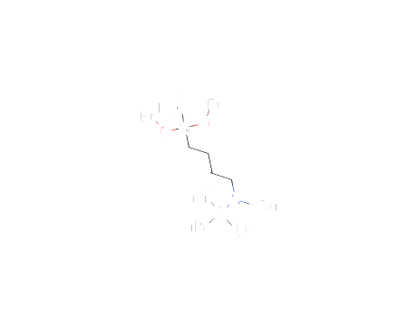 CCCCN(CCCC[Si](C)(OCC)OCC)[Si](C(C)C)(C(C)C)C(C)C